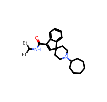 CCC(CC)NC(=O)C1=CC2(CCN(C3CCCCCC3)CC2)c2ccccc21